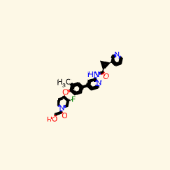 Cc1cc(-c2ccnc(NC(=O)[C@H]3C[C@@H]3c3cccnc3)c2)ccc1O[C@H]1CCN(C(=O)CO)C[C@H]1F